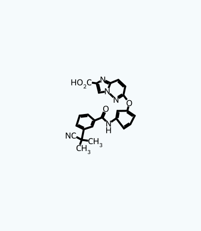 CC(C)(C#N)c1cccc(C(=O)Nc2cccc(Oc3ccc4nc(C(=O)O)cn4n3)c2)c1